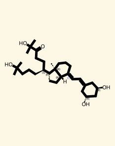 CC(C)(O)CCC[C@@H](CCC(=O)C(C)(C)O)[C@H]1CC[C@H]2/C(=C/C=C3C[C@@H](O)C[C@H](O)C3)CCC[C@]12C